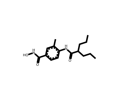 CCCC(CCC)C(=O)Nc1ccc(C(=O)NO)cc1C